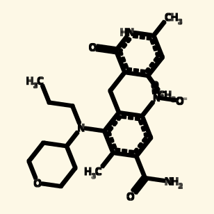 CCCN(c1c(C)c(C(N)=O)cc([N+](=O)[O-])c1Cc1c(C)cc(C)[nH]c1=O)C1CCOCC1